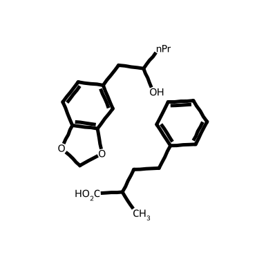 CC(CCc1ccccc1)C(=O)O.CCCC(O)Cc1ccc2c(c1)OCO2